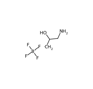 F[B-](F)(F)F.[CH2]C(O)CN